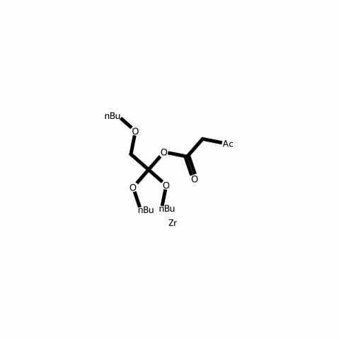 CCCCOCC(OCCCC)(OCCCC)OC(=O)CC(C)=O.[Zr]